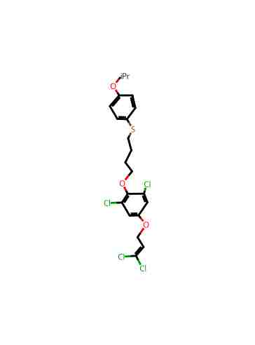 CC(C)Oc1ccc(SCCCCOc2c(Cl)cc(OCC=C(Cl)Cl)cc2Cl)cc1